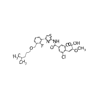 CO/C(=C/c1c(Cl)cc(C(=O)Nc2nc(-c3cccc(COCCCC(C)C)c3F)cs2)cc1Cl)C(=O)O